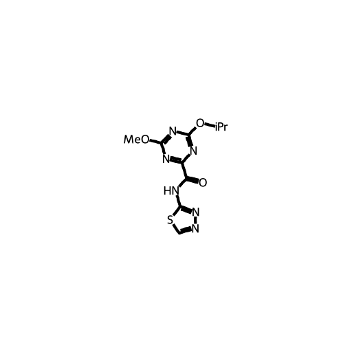 COc1nc(OC(C)C)nc(C(=O)Nc2nncs2)n1